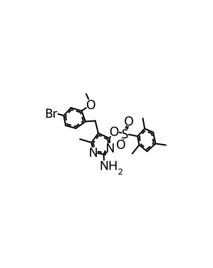 COc1cc(Br)ccc1Cc1c(C)nc(N)nc1OS(=O)(=O)c1c(C)cc(C)cc1C